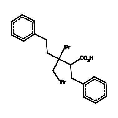 CC(C)CC(CCc1ccccc1)(C(C)C)C(Cc1ccccc1)C(=O)O